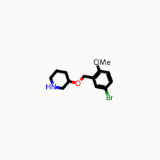 COc1ccc(Br)cc1COC1CCCNC1